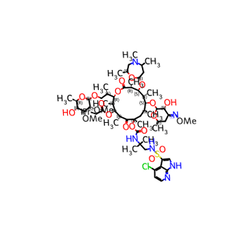 CO/N=C1\C[C@@H](C)OC(O[C@@H]2[C@@H](C)[C@H](O[C@H]3CC(C)N(C)C[C@H](C)O3)[C@@H](C)C(=O)O[C@H]([C@@H](C)CO[C@@H]3O[C@H](C)[C@@H](O)[C@@H](OC)[C@H]3OC)[C@H](C)[C@@H](OC(=O)CC(C)C)[C@@H](C)C(=O)[C@@](C)(OC(=O)NC(C)(C)CNS(=O)(=O)c3c[nH]c4nccc(Cl)c34)C[C@@H]2C)[C@@H]1O